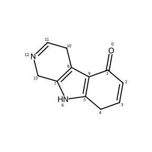 O=C1C=CCc2[nH]c3c(c21)CC=NC3